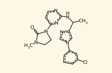 CC(Nc1nccc(N2CCN(C)C2=O)n1)c1cn(-c2cccc(Cl)c2)cn1